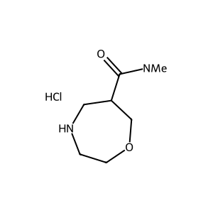 CNC(=O)C1CNCCOC1.Cl